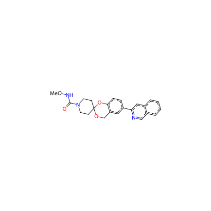 CONC(=O)N1CCC2(CC1)OCc1cc(-c3cc4ccccc4cn3)ccc1O2